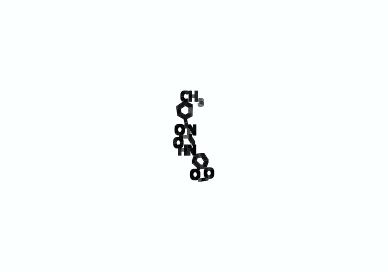 Cc1ccc(C2=NC(=CNc3ccc4c(c3)OCCO4)C(=O)O2)cc1